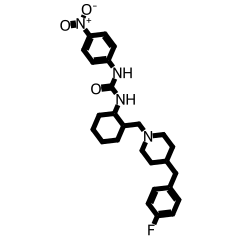 O=C(Nc1ccc([N+](=O)[O-])cc1)NC1CCCCC1CN1CCC(Cc2ccc(F)cc2)CC1